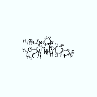 C=CC(=C)NCC(=N)c1c(N2CC(NC)C2)ccnc1Nc1ccc(CC(F)(F)F)cc1